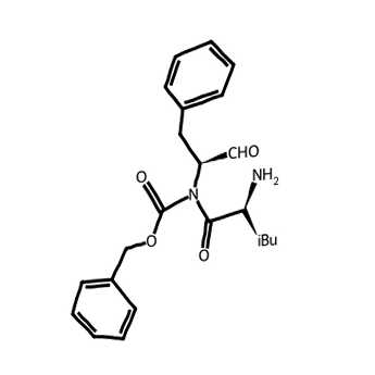 CC[C@H](C)[C@H](N)C(=O)N(C(=O)OCc1ccccc1)[C@H](C=O)Cc1ccccc1